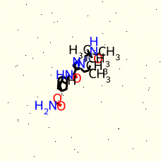 CC(=O)NC(C)(C)/C=C/n1ncc(C(=O)N[C@H]2C3CC4CC2C[C@](COC(N)=O)(C4)C3)c1CC(C)C